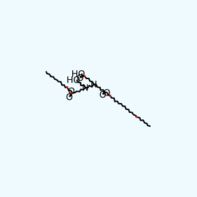 CCCCCCCCCCCCCCCCCCCCCCCCOC(=O)CCCCCN(CCCCCC(=O)O)CCCN(CCCCO)CCCCCC(=C=O)OCCCCCCCCCCCCCC